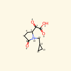 O=C(O)C(=O)C1CCC(=O)N1CC1CC1